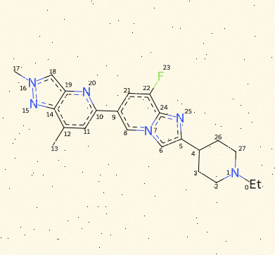 CCN1CCC(c2cn3cc(-c4cc(C)c5nn(C)cc5n4)cc(F)c3n2)CC1